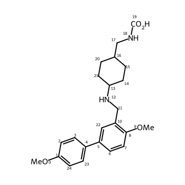 COc1ccc(-c2ccc(OC)c(CNC3CCC(CNC(=O)O)CC3)c2)cc1